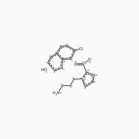 Cl.Clc1ccc2cccnc2c1.NCCCn1ccnc1[N+](=O)[O-]